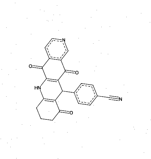 N#Cc1ccc(C2C3=C(CCCC3=O)NC3=C2C(=O)c2cnccc2C3=O)cc1